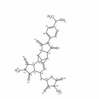 CC(C)c1ccc(N2C(=O)C3C4CC(C3C2=O)C2C4=CC(CC3CC(=O)N(C)C3=O)C3C(=O)N(C)C(=O)C32)cc1